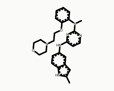 Cc1cc2cc(Nc3ccnc(N(C)c4ccccc4OCCN4CCOCC4)n3)ccc2[nH]1